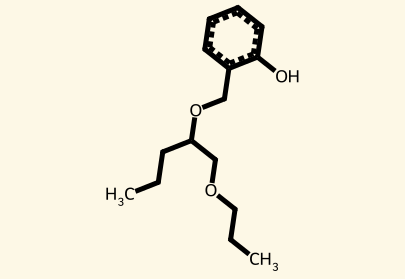 CCCOCC(CCC)OCc1ccccc1O